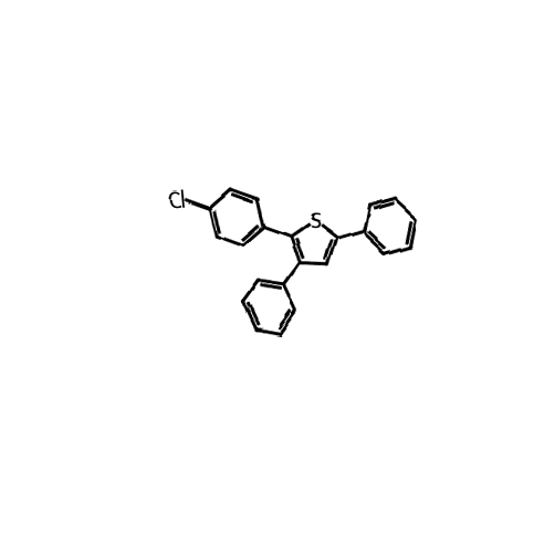 Clc1ccc(-c2sc(-c3ccccc3)cc2-c2ccccc2)cc1